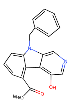 COC(=O)c1cccc2c1c1c(O)cncc1n2Cc1ccccc1